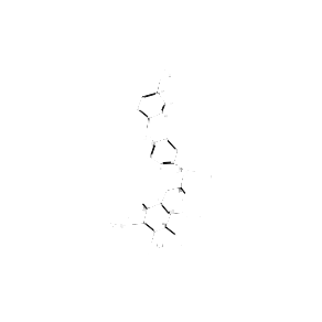 COC1=C(OC)C(=O)C(CC(=O)N(C)c2ccc(Oc3ccc(C(C)(C)C)cc3)cc2)=C(C)C1=O